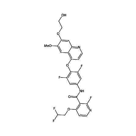 COc1cc2c(Oc3c(F)cc(NC(=O)c4c(OCC(F)F)ccnc4F)cc3F)ccnc2cc1OCCO